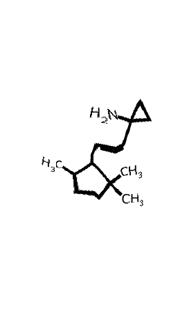 CC1CCC(C)(C)C1/C=C/C1(N)CC1